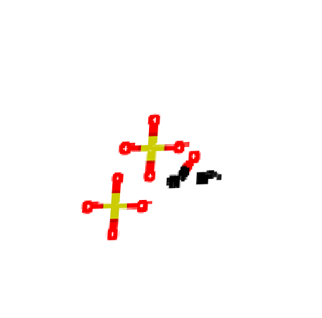 O=S(=O)([O-])[O-].O=S(=O)([O-])[O-].[Bi+3].[O]=[Bi+]